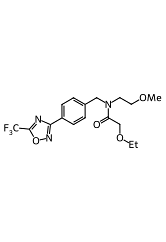 CCOCC(=O)N(CCOC)Cc1ccc(-c2noc(C(F)(F)F)n2)cc1